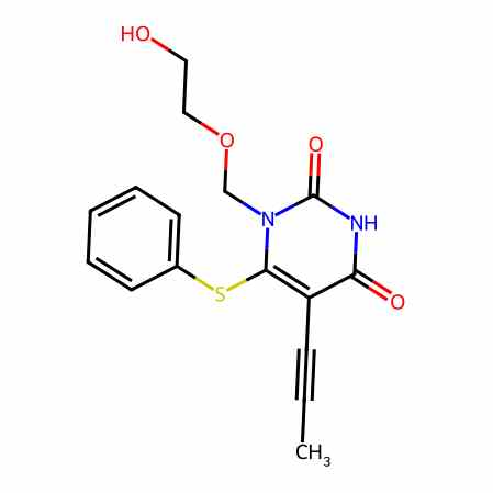 CC#Cc1c(Sc2ccccc2)n(COCCO)c(=O)[nH]c1=O